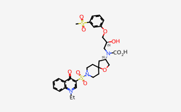 CCn1cc(S(=O)(=O)N2CCC3(CC2)C[C@H](N(C[C@H](O)COc2cccc(S(C)(=O)=O)c2)C(=O)O)CO3)c(=O)c2ccccc21